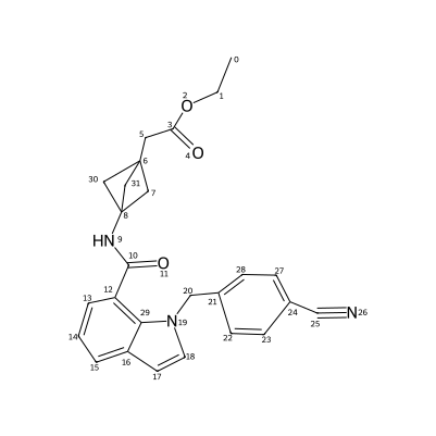 CCOC(=O)CC12CC(NC(=O)c3cccc4ccn(Cc5ccc(C#N)cc5)c34)(C1)C2